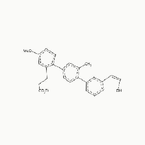 CCOC(=O)CCc1cc(OC)ccc1-c1ccc(-c2cccc(/C=C\O)c2)c(C)c1